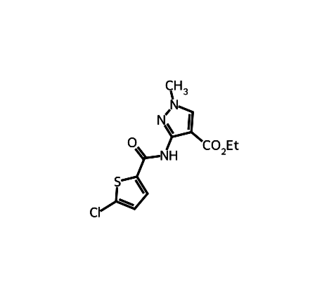 CCOC(=O)c1cn(C)nc1NC(=O)c1ccc(Cl)s1